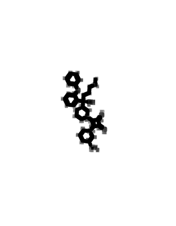 COCCC[C@@](O)(c1ccccc1Oc1ccccc1)[C@@H]1CCCN(c2c(N3CCC[C@H](N)C3)c(=O)c2=O)C1